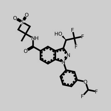 CC1(NC(=O)c2ccc3c(c2)c([C@@H](O)C(F)(F)F)nn3-c2cccc(OC(F)F)c2)CS(=O)(=O)C1